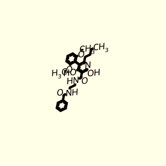 CCCCc1nc(O)c(C(=O)NCCNC(=O)c2ccccc2)c(O)c1-c1c(OC)cccc1OC